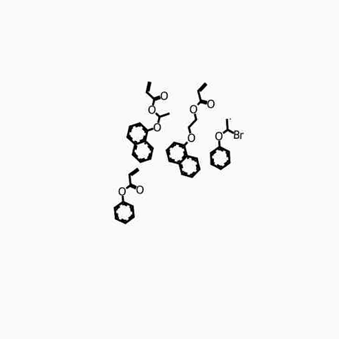 C=CC(=O)OC(C)Oc1cccc2ccccc12.C=CC(=O)OCCOc1cccc2ccccc12.C=CC(=O)Oc1ccccc1.[CH2]C(Br)Oc1ccccc1